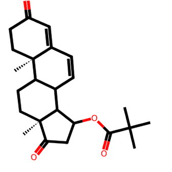 CC(C)(C)C(=O)OC1CC(=O)[C@@]2(C)CCC3C(C=CC4=CC(=O)CC[C@@]43C)C12